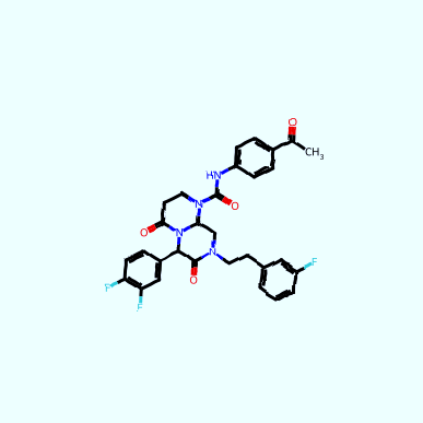 CC(=O)c1ccc(NC(=O)N2CCC(=O)N3C(c4ccc(F)c(F)c4)C(=O)N(CCc4cccc(F)c4)CC23)cc1